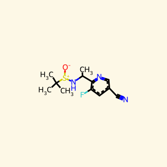 CC(N[S+]([O-])C(C)(C)C)c1ncc(C#N)cc1F